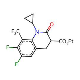 CCOC(=O)C1Cc2cc(F)c(F)c(C(F)(F)F)c2N(C2CC2)C1=O